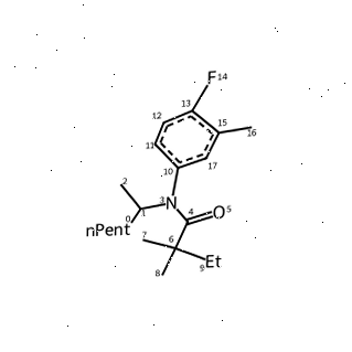 CCCCCC(C)N(C(=O)C(C)(C)CC)c1ccc(F)c(C)c1